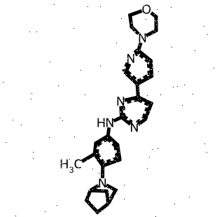 Cc1cc(Nc2nccc(-c3ccc(N4CCOCC4)nc3)n2)ccc1N1CC2CCC1C2